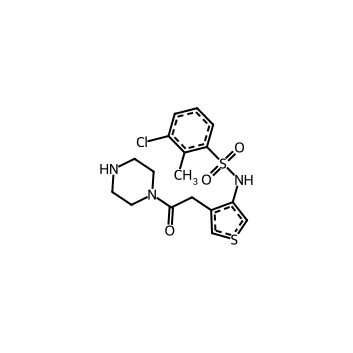 Cc1c(Cl)cccc1S(=O)(=O)Nc1cscc1CC(=O)N1CCNCC1